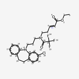 CCOC(=O)/C=C/CCN(CCCN1c2ccccc2CCc2ccc(Cl)cc21)C(=O)C(F)(F)F